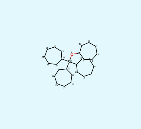 C1CCCC(O[Si](C2CCCCCC2)(C2CCCCCC2)C2CCCCCC2)CC1